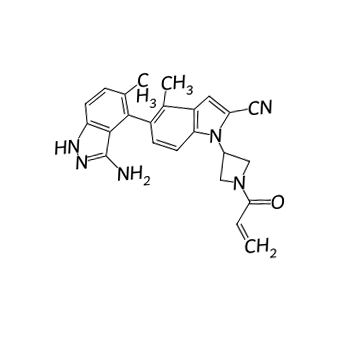 C=CC(=O)N1CC(n2c(C#N)cc3c(C)c(-c4c(C)ccc5[nH]nc(N)c45)ccc32)C1